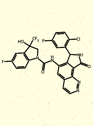 O=C1NC(c2cc(F)ccc2Cl)c2c(NC(=O)N3CC(O)(C(F)(F)F)c4cc(F)ccc43)cc3ccnnc3c21